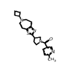 Cc1ccc(C(=O)N2CCC(c3nc4c(s3)CCN(C3CCC3)CC4)C2)cn1